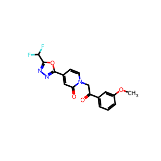 COc1cccc(C(=O)Cn2ccc(-c3nnc(C(F)F)o3)cc2=O)c1